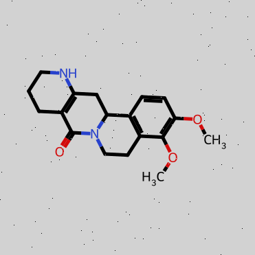 COc1ccc2c(c1OC)CCN1C(=O)C3=C(CC21)NCCC3